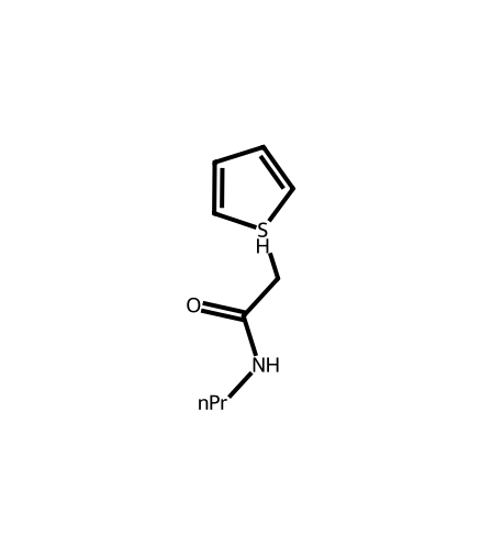 CCCNC(=O)C[SH]1C=CC=C1